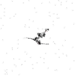 CCCCCCCCCCCCN1CCN(C)C1=NP(=O)(OC[C@H]1CN(P(=O)(N=C2N(C)CCN2CCCCCCCCCCCC)OC[C@H]2CN(P(=O)(N=C3N(C)CCN3CCCCCCCCCCCC)OC(C)(C)C)CCO2)CCO1)N1CCO[C@@H](COP(=O)(O)OCCCCCCO)C1